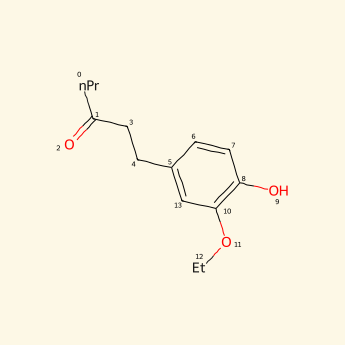 CCCC(=O)CCc1ccc(O)c(OCC)c1